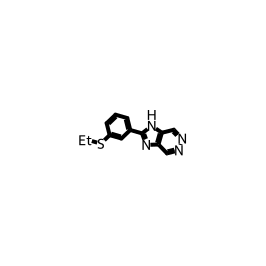 CCSc1cccc(-c2nc3cnncc3[nH]2)c1